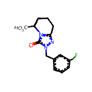 O=C(O)C1CCCc2nn(Cc3cccc(F)c3)c(=O)n21